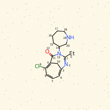 CCC1=NC2=CC=CC(Cl)=C(C2)C(=O)N1C1CCCCNC1